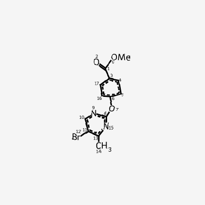 COC(=O)c1ccc(Oc2ncc(Br)c(C)n2)cc1